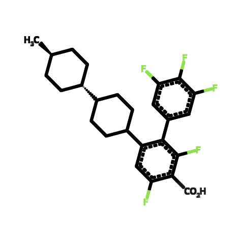 C[C@H]1CC[C@H](C2CCC(c3cc(F)c(C(=O)O)c(F)c3-c3cc(F)c(F)c(F)c3)CC2)CC1